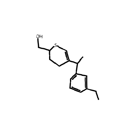 CCc1cccc(C(C)C2=CSC(CO)CC2)c1